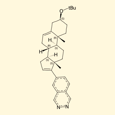 CC(C)(C)O[C@H]1CC[C@@]2(C)C(=CC[C@@H]3[C@@H]2CC[C@]2(C)C(c4ccc5cnncc5c4)=CC[C@@H]32)C1